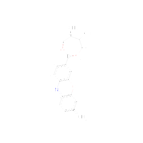 C=c1ccc2c(c1)Oc1cc(B3OCC(C)C(C)CO3)ccc1N=2